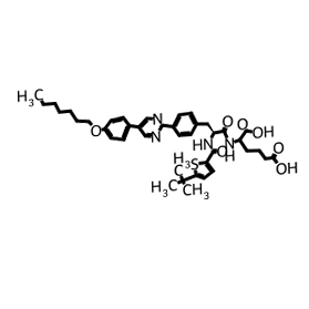 CCCCCCCOc1ccc(-c2cnc(-c3ccc(C[C@H](NC(=O)c4ccc(C(C)(C)C)s4)C(=O)NC(CCCC(=O)O)C(=O)O)cc3)nc2)cc1